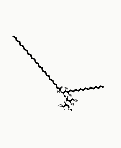 CCCCCCCCCCCCCCCCCCCCCCCCCC(=O)N[C@@H](COC(OC(COC)[C@@H](C)O)[C@@H](O)CO)[C@H](O)[C@H](O)CCCCCCCCCCCCCC